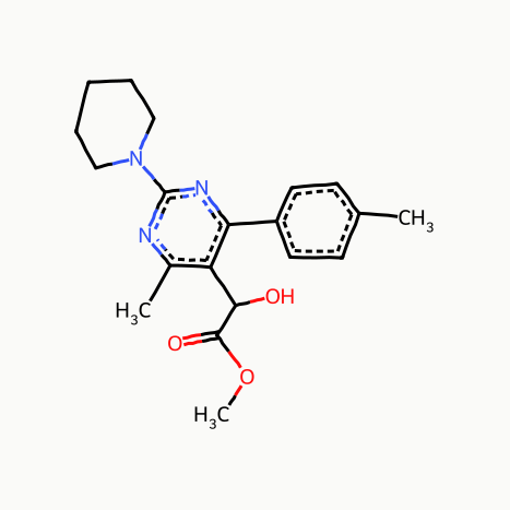 COC(=O)C(O)c1c(C)nc(N2CCCCC2)nc1-c1ccc(C)cc1